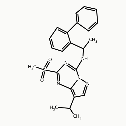 CC(C)c1cnn2c(NC(C)c3ccccc3-c3ccccc3)nc(S(C)(=O)=O)nc12